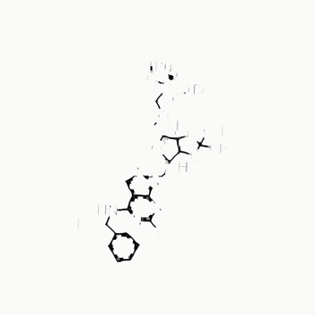 C[C@H](Nc1nc(Cl)nc2c1cnn2C[C@H]1O[C@H](COCP(=O)(OC(C)(C)C)OC(C)(C)C)[C@H]2OC(C)(C)O[C@H]21)c1ccccc1